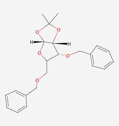 CC1(C)O[C@H]2OC(COCc3ccccc3)[C@@H](OCc3ccccc3)[C@H]2O1